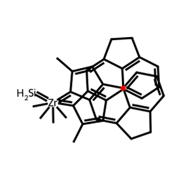 CC1=Cc2c(cc3c4c(cccc24)CC3)[C]1=[Zr]([CH3])([CH3])([CH3])([CH3])(=[SiH2])=[C]1C(C)=Cc2c1cc1c3c(cccc23)CC1